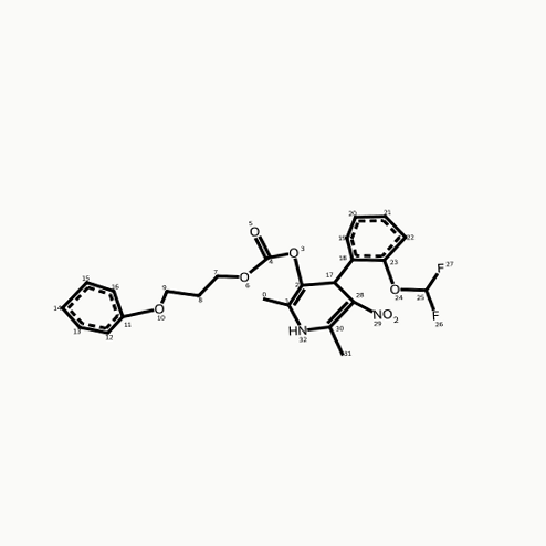 CC1=C(OC(=O)OCCCOc2ccccc2)C(c2ccccc2OC(F)F)C([N+](=O)[O-])=C(C)N1